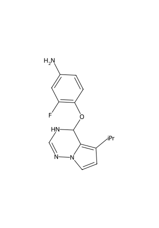 CC(C)c1ccn2c1C(Oc1ccc(N)cc1F)NC=N2